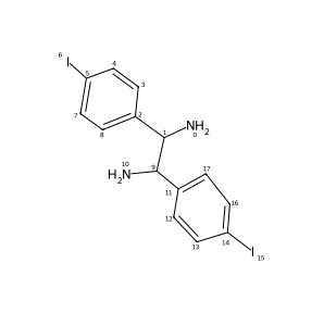 NC(c1ccc(I)cc1)C(N)c1ccc(I)cc1